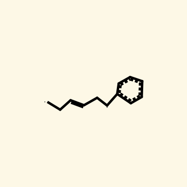 [CH2]CC=CC[CH]c1ccccc1